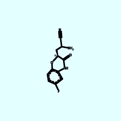 N#CC(N)C[C@@H]1Oc2ccc(F)cc2NC1=O